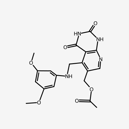 COc1cc(NCc2c(COC(C)=O)cnc3[nH]c(=O)[nH]c(=O)c23)cc(OC)c1